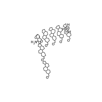 NC(=O)C1OC=CC=C1C=O.O=CC1CCC2C(CCC3C4CCCC4CCC23)C1.O=CC1CCC2C(CCC3C4CCCC4CCC23)C1.O=CC1CCC2C(CCC3C4CCCC4CCC23)C1.O=CC1CCC2C(CCC3C4CCCC4CCC23)C1.O=CC1CCC2C(CCC3C4CCCC4CCC23)C1.O=CC1CC[C@H]2C(CC[C@H]3[C@@H]4CCC[C@H]4CC[C@@H]32)C1